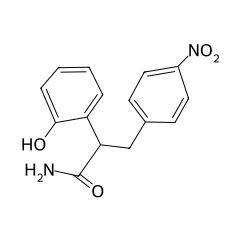 NC(=O)C(Cc1ccc([N+](=O)[O-])cc1)c1ccccc1O